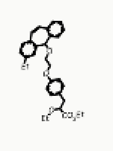 CCOC(=O)C(Cc1ccc(OCCOC2c3ccccc3C=Cc3ccc(CC)cc32)cc1)OCC